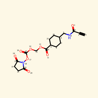 C#CC(=O)NCC1CCC(C(=O)OCOC(=O)ON2C(=O)CCC2=O)CC1